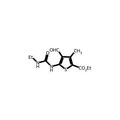 CCNC(=O)Nc1sc(C(=O)OCC)c(C)c1C=O